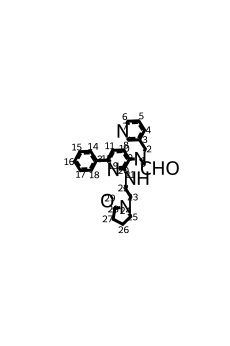 O=CN(Cc1cccnc1)c1ccc(-c2ccccc2)nc1NCCN1CCCC1=O